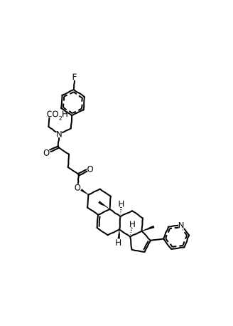 C[C@]12CC[C@H](OC(=O)CCC(=O)N(CC(=O)O)Cc3ccc(F)cc3)CC1=CC[C@@H]1[C@@H]2CC[C@]2(C)C(c3cccnc3)=CC[C@@H]12